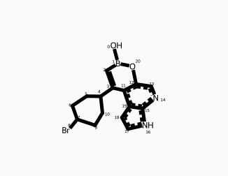 OB1C=C(C2CCC(Br)CC2)c2c(cnc3[nH]ccc23)O1